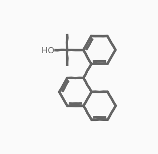 CC(C)(O)C1=CCCC=C1C1C=CC=C2C=CCCC21